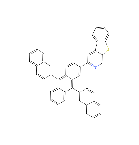 c1ccc2cc(-c3c4ccccc4c(-c4ccc5ccccc5c4)c4cc(-c5cc6c(cn5)sc5ccccc56)ccc34)ccc2c1